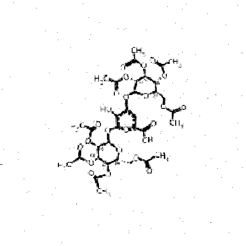 CC(=O)OC[C@H]1OC(Oc2cc(C(=O)O)cc(OC3O[C@H](COC(C)=O)[C@@H](OC(C)=O)[C@H](OC(C)=O)[C@H]3OC(C)=O)c2O)[C@H](OC(C)=O)[C@@H](OC(C)=O)[C@@H]1OC(C)=O